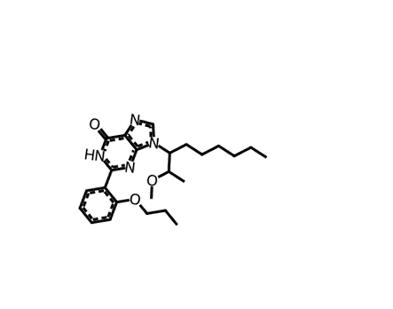 CCCCCCC(C(C)OC)n1cnc2c(=O)[nH]c(-c3ccccc3OCCC)nc21